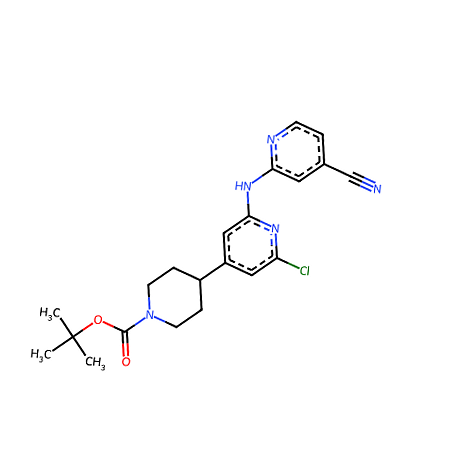 CC(C)(C)OC(=O)N1CCC(c2cc(Cl)nc(Nc3cc(C#N)ccn3)c2)CC1